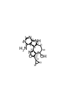 Nc1ncnc2[nH]c3c(c12)-c1noc(C2CC2)c1C(O)CC3